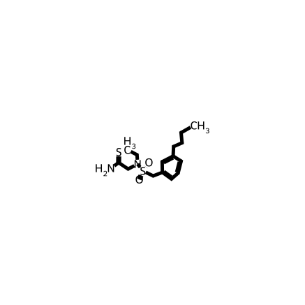 CCCCc1cccc(CS(=O)(=O)N(CC)CC(N)=S)c1